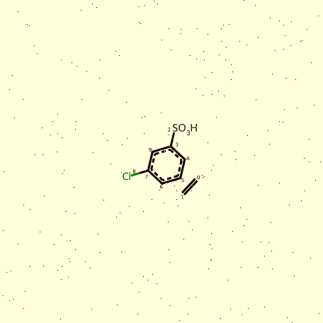 C=C.O=S(=O)(O)c1cccc(Cl)c1